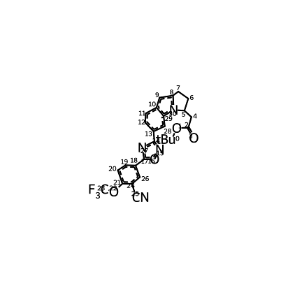 CC(C)(C)OC(=O)CC1CCc2cc3ccc(-c4noc(-c5ccc(OC(F)(F)F)c(C#N)c5)n4)cc3n21